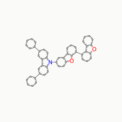 c1ccc(-c2ccc3c(c2)c2cc(-c4ccccc4)ccc2n3-c2ccc3oc4c(-c5cccc6oc7ccccc7c56)cccc4c3c2)cc1